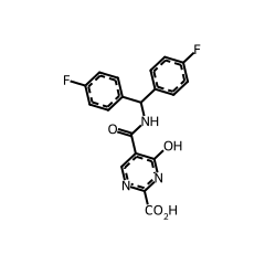 O=C(O)c1ncc(C(=O)NC(c2ccc(F)cc2)c2ccc(F)cc2)c(O)n1